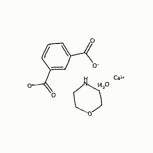 C1COCCN1.O.O=C([O-])c1cccc(C(=O)[O-])c1.[Ca+2]